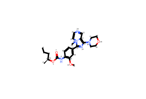 CCC[C@H](C)OC(=O)Nc1ccc(C2=NC(N3CCOCC3)=C3C=NC=C[N+]23C)cc1OC